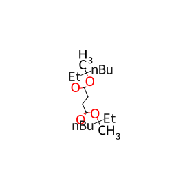 CCCCC(C)(CC)OC(=O)CCC(=O)OC(C)(CC)CCCC